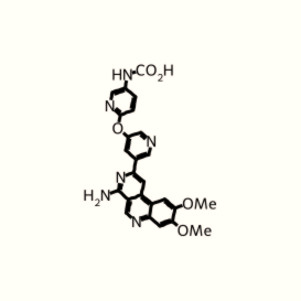 COc1cc2ncc3c(N)nc(-c4cncc(Oc5ccc(NC(=O)O)cn5)c4)cc3c2cc1OC